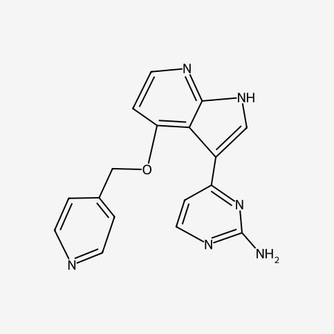 Nc1nccc(-c2c[nH]c3nccc(OCc4ccncc4)c23)n1